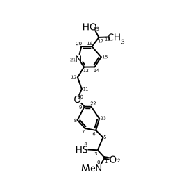 CNC(=O)C(S)Cc1ccc(OCCc2ccc(C(C)O)cn2)cc1